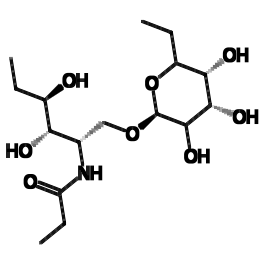 CCC(=O)N[C@@H](CO[C@H]1OC(CC)[C@H](O)[C@H](O)C1O)[C@H](O)[C@H](O)CC